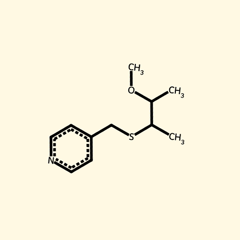 COC(C)C(C)SCc1ccncc1